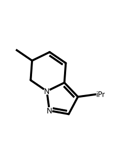 CC1C=Cc2c(C(C)C)cnn2C1